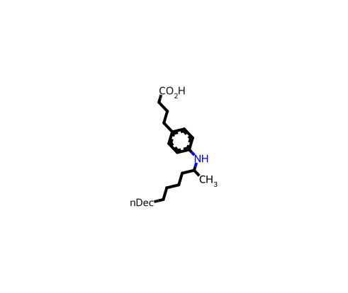 CCCCCCCCCCCCCCC(C)Nc1ccc(CCCC(=O)O)cc1